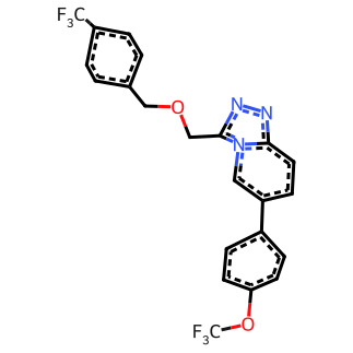 FC(F)(F)Oc1ccc(-c2ccc3nnc(COCc4ccc(C(F)(F)F)cc4)n3c2)cc1